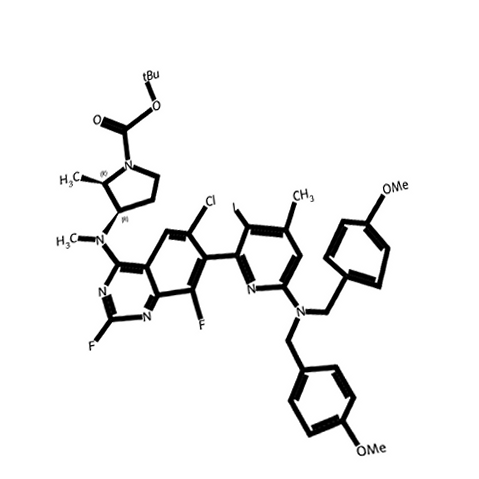 COc1ccc(CN(Cc2ccc(OC)cc2)c2cc(C)c(I)c(-c3c(Cl)cc4c(N(C)[C@@H]5CCN(C(=O)OC(C)(C)C)[C@@H]5C)nc(F)nc4c3F)n2)cc1